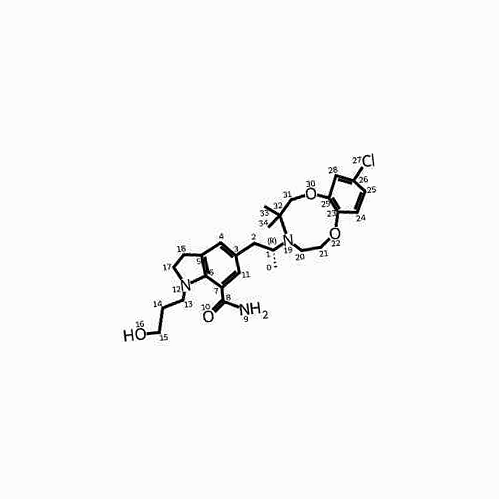 C[C@H](Cc1cc2c(c(C(N)=O)c1)N(CCCO)CC2)N1CCOc2ccc(Cl)cc2OCC1(C)C